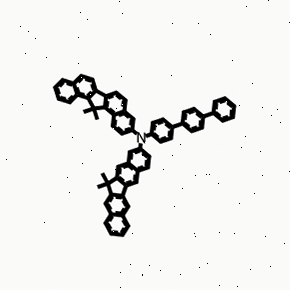 CC1(C)c2cc3ccccc3cc2-c2cc3ccc(N(c4ccc(-c5ccc(-c6ccccc6)cc5)cc4)c4ccc5c6c(ccc5c4)-c4ccc5ccccc5c4C6(C)C)cc3cc21